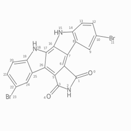 O=C1NC(=O)c2c1c1c3cc(Br)ccc3[nH]c1c1[nH]c3ccc(Br)cc3c21